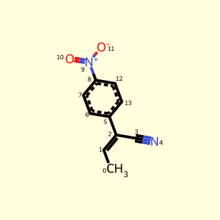 CC=C(C#N)c1ccc([N+](=O)[O-])cc1